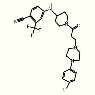 N#Cc1ccc(NC2CCN(C(=O)CCN3CCN(c4ccc(Cl)cc4)CC3)CC2)cc1C(F)(F)F